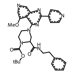 COc1cncc2nc(-c3ccncc3)nc(N3CCN(C(=O)OC(C)(C)C)C(C(=O)NCCc4ccccc4)C3)c12